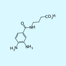 Nc1ccc(C(=O)NCCCC(=O)O)cc1N